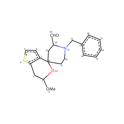 COC1Cc2sccc2C2(CCN(Cc3ccccc3)C(C=O)C2)O1